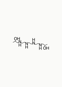 CC(O)CNCCNCCNCCNCC(C)O